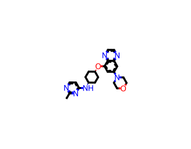 Cc1nccc(N[C@H]2CC[C@@H](Oc3cc(N4CCOCC4)cc4nccnc34)CC2)n1